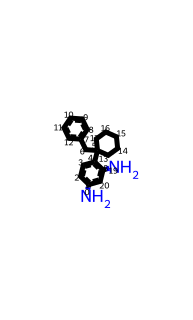 Nc1ccc(C2(Cc3ccccc3)CCCCC2)c(N)c1